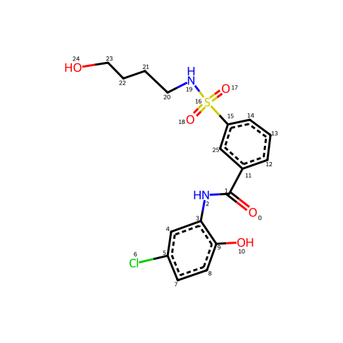 O=C(Nc1cc(Cl)ccc1O)c1cccc(S(=O)(=O)NCCCCO)c1